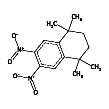 CC1(C)CCC(C)(C)c2cc([N+](=O)[O-])c([N+](=O)[O-])cc21